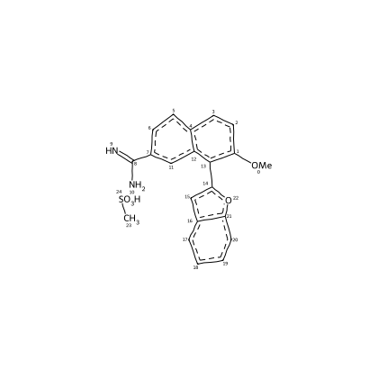 COc1ccc2ccc(C(=N)N)cc2c1-c1cc2ccccc2o1.CS(=O)(=O)O